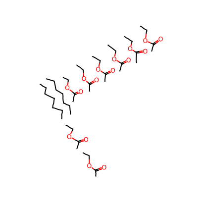 CCCCCCC.CCCCCCC.CCOC(C)=O.CCOC(C)=O.CCOC(C)=O.CCOC(C)=O.CCOC(C)=O.CCOC(C)=O.CCOC(C)=O.CCOC(C)=O